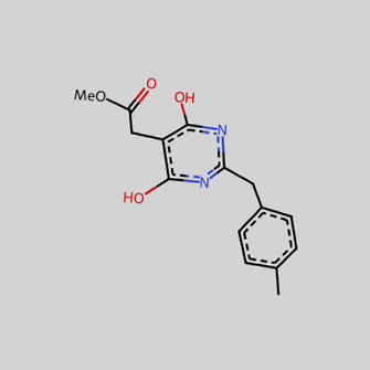 COC(=O)Cc1c(O)nc(Cc2ccc(C)cc2)nc1O